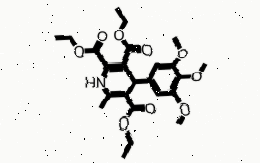 CCOC(=O)C1=C(C(=O)OCC)C(c2cc(OC)c(OC)c(OC)c2)C(C(=O)OCC)=C(C)N1